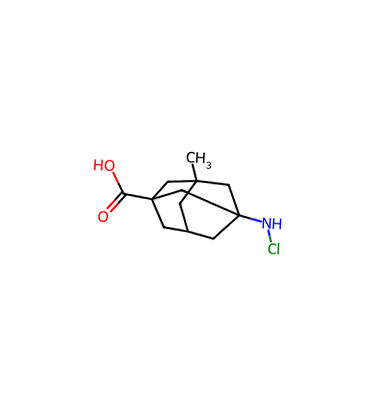 CC12CC3CC(NCl)(C1)CC(C(=O)O)(C3)C2